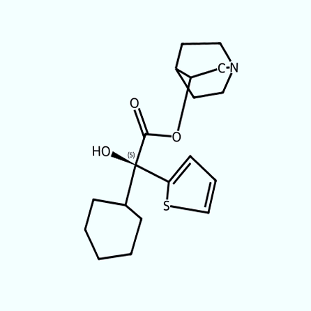 O=C(OC1CN2CCC1CC2)[C@](O)(c1cccs1)C1CCCCC1